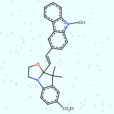 CCCCCCCCn1c2ccccc2c2cc(/C=C/C34OCCN3c3ccc(C(=O)OCC)cc3C4(C)C)ccc21